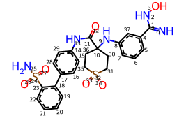 N=C(NO)c1cccc(NC2(C(=O)Nc3ccc(-c4ccccc4S(N)(=O)=O)cc3)CCS(=O)(=O)CC2)c1